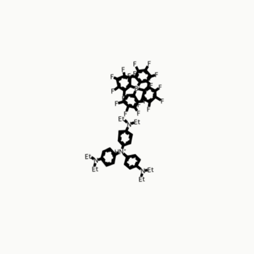 CCN(CC)c1ccc([NH+](c2ccc(N(CC)CC)cc2)c2ccc(N(CC)CC)cc2)cc1.Fc1c(F)c(F)c([B-](c2c(F)c(F)c(F)c(F)c2F)(c2c(F)c(F)c(F)c(F)c2F)c2c(F)c(F)c(F)c(F)c2F)c(F)c1F